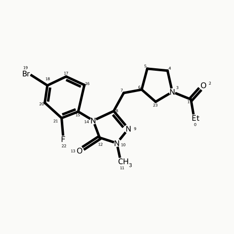 CCC(=O)N1CCC(Cc2nn(C)c(=O)n2-c2ccc(Br)cc2F)C1